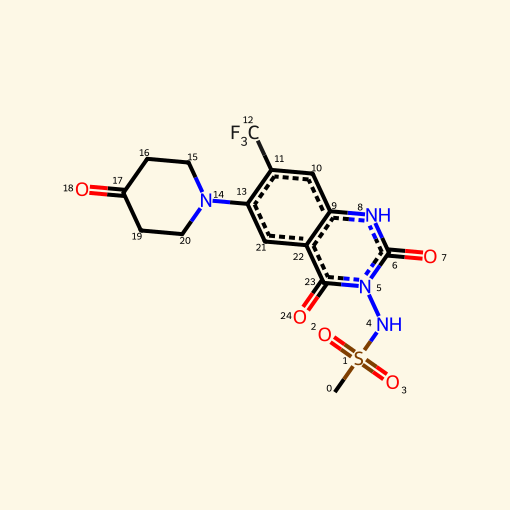 CS(=O)(=O)Nn1c(=O)[nH]c2cc(C(F)(F)F)c(N3CCC(=O)CC3)cc2c1=O